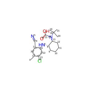 Cc1cc(C#N)c(N[C@H]2CCCC[C@@H]2N(C(=O)O)C(C)(C)C)cc1Cl